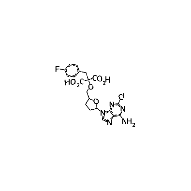 Nc1nc(Cl)nc2c1ncn2C1CCC(COC(Cc2ccc(F)cc2)(C(=O)O)C(=O)O)O1